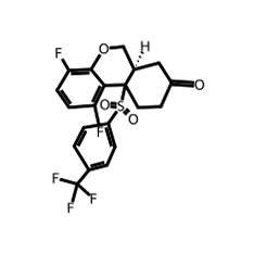 O=C1CCC2(S(=O)(=O)c3ccc(C(F)(F)F)cc3)c3c(F)ccc(F)c3OC[C@H]2C1